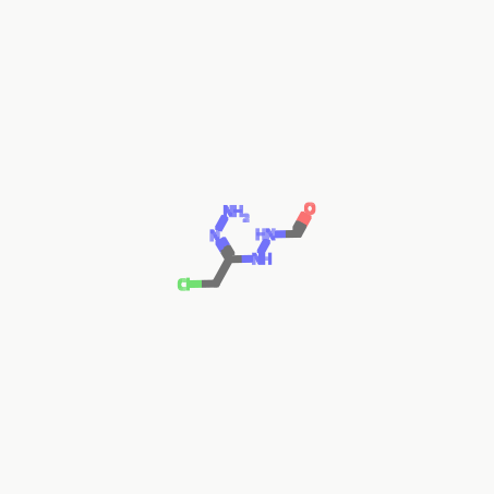 NN=C(CCl)NNC=O